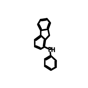 c1ccc(Pc2cccc3c2Cc2ccccc2-3)cc1